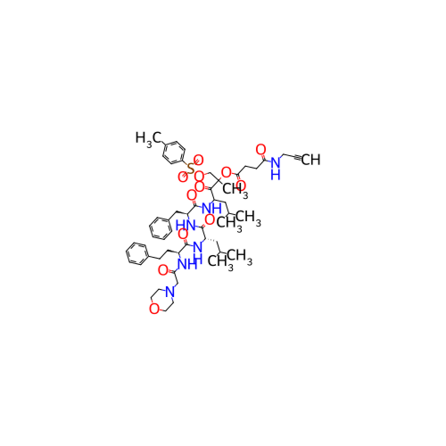 C#CCNC(=O)CCC(=O)OC(C)(COS(=O)(=O)c1ccc(C)cc1)C(=O)C(CC(C)C)NC(=O)[C@H](Cc1ccccc1)NC(=O)[C@H](CC(C)C)NC(=O)[C@H](CCc1ccccc1)NC(=O)CN1CCOCC1